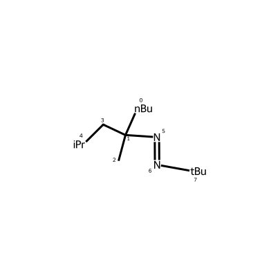 CCCCC(C)(CC(C)C)N=NC(C)(C)C